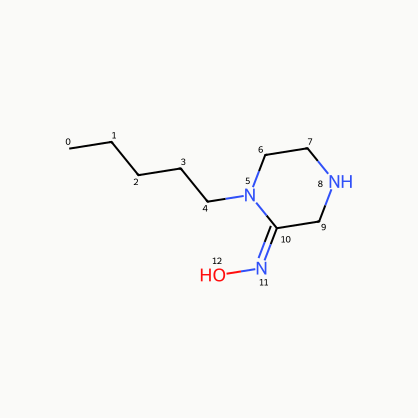 CCCCCN1CCNCC1=NO